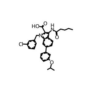 CCCCC(=O)Nc1c(C(=O)O)n(Cc2cccc(Cl)c2)c2cc(-c3cccc(OC(C)C)c3)ccc12